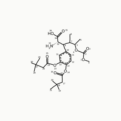 COC(=O)OC(C)C(C)C(c1ccc(OC(=O)CC(C)(C)C)c(OC(=O)CC(C)(C)C)c1)[C@H](N)C(=O)O